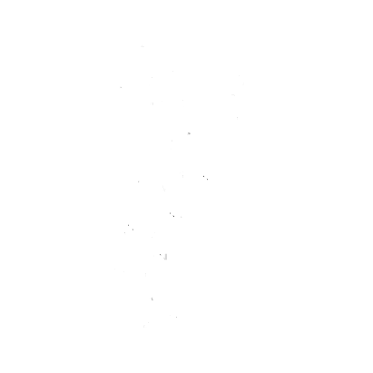 CC(NC(=O)c1ccnc(NC(=O)C2CC2)n1)c1cc(Cl)cc(OC(F)(F)F)c1